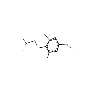 Cc1cc(CN)cc(C)c1OCC(F)F.Cl